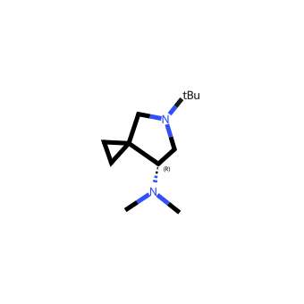 CN(C)[C@H]1CN(C(C)(C)C)CC12CC2